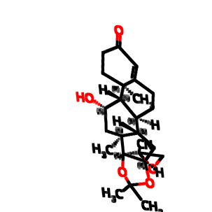 CC1(C)O[C@@H]2C[C@H]3[C@@H]4CCC5=CC(=O)CC[C@]5(C)[C@H]4[C@@H](O)C[C@]3(C)[C@]2(C2(C#N)CO2)O1